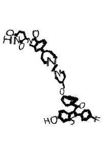 O=C1CCC(N2Cc3cc(C4CCN(CCN5CCC(COc6ccc(C(=O)c7c(-c8ccc(F)cc8)sc8cc(O)ccc78)cc6)CC5)CC4)ccc3C2=O)C(=O)N1